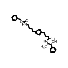 C[C@H](CCCc1ccc(CCCCNC(=O)OCc2ccccc2)cc1)N[C@@H](C)[C@H](O)c1ccccc1